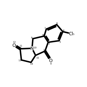 O=C1c2cc(Cl)ccc2CN2C(=O)CCC12